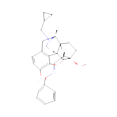 CO[C@]12CCC3(C[C@]1(C)CNCc1ccccc1)[C@H]1Cc4ccc(O)c5c4[C@@]3(CCN1CC1CC1)[C@H]2O5